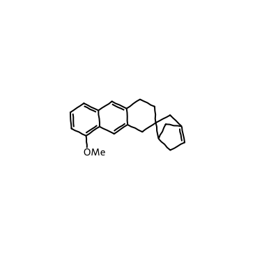 COc1cccc2cc3c(cc12)CC1(CC3)CC2=CCC1C2